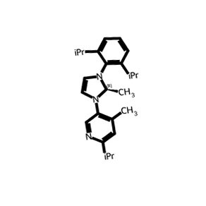 Cc1cc(C(C)C)ncc1N1C=CN(c2c(C(C)C)cccc2C(C)C)[C@H]1C